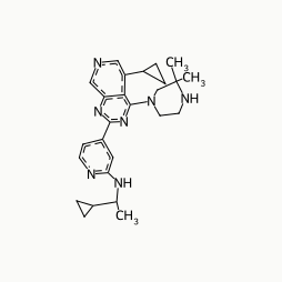 CC(Nc1cc(-c2nc(N3CCNC(C)(C)C3)c3c(C4CC4)cncc3n2)ccn1)C1CC1